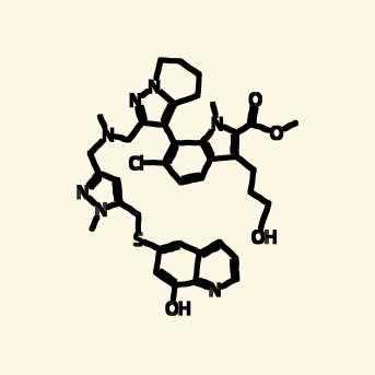 COC(=O)c1c(CCCO)c2ccc(Cl)c(-c3c(CN(C)Cc4cc(CSc5cc(O)c6ncccc6c5)n(C)n4)nn4c3CCCC4)c2n1C